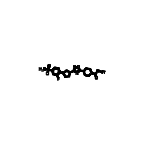 CC(C)OC(=O)N1CCC(c2nc(C3CCN(c4ccc(S(C)(=O)=O)cc4F)C3)no2)CC1